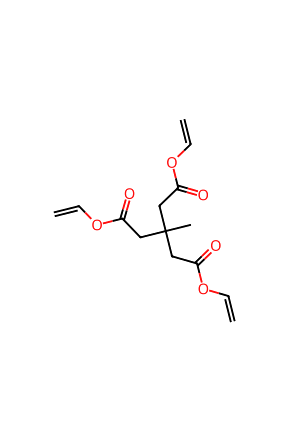 C=COC(=O)CC(C)(CC(=O)OC=C)CC(=O)OC=C